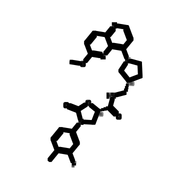 COc1ccc2nccc(N3CC[C@H](CNC(=O)[C@@H]4CN(c5ccc(C)c(F)c5)C(=O)O4)C3)c2n1